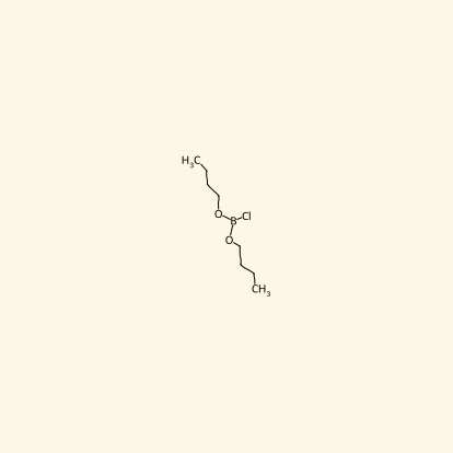 CCCCOB(Cl)OCCCC